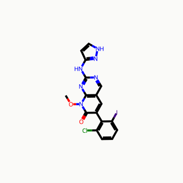 COn1c(=O)c(-c2c(Cl)cccc2I)cc2cnc(Nc3cc[nH]n3)nc21